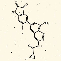 Cc1cc2c(cc1-c1cc3cc(NC(=O)[C@H]4C[C@@H]4C)ncc3c(N)n1)C(=O)C(=O)N2